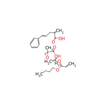 C=C.C=C(CC=Cc1ccccc1)C(=O)O.C=CC(=O)OCCCC.CC1(C(=O)O)CO1